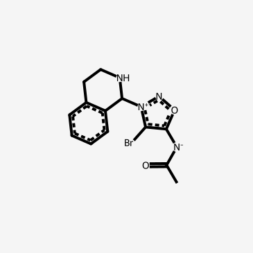 CC(=O)[N-]c1on[n+](C2NCCc3ccccc32)c1Br